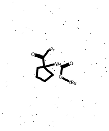 CC(C)C(=O)C1(NC(=O)OC(C)(C)C)CCCC1